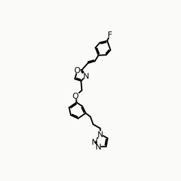 Fc1ccc(/C=C/c2nc(COc3cccc(CCCn4ccnn4)c3)co2)cc1